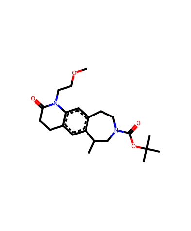 COCCN1C(=O)CCc2cc3c(cc21)CCN(C(=O)OC(C)(C)C)CC3C